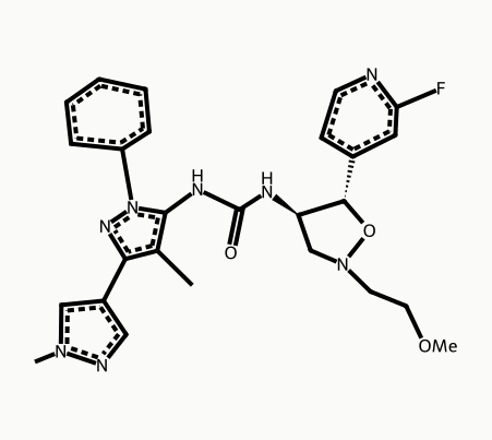 COCCN1C[C@@H](NC(=O)Nc2c(C)c(-c3cnn(C)c3)nn2-c2ccccc2)[C@H](c2ccnc(F)c2)O1